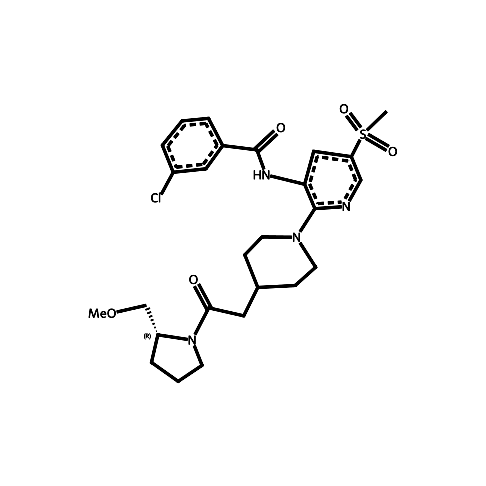 COC[C@H]1CCCN1C(=O)CC1CCN(c2ncc(S(C)(=O)=O)cc2NC(=O)c2cccc(Cl)c2)CC1